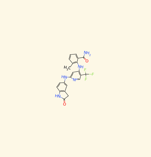 Cc1cccc(C(N)=O)c1Nc1cc(Nc2ccc3c(c2)CC(=O)N3)ncc1C(F)(F)F